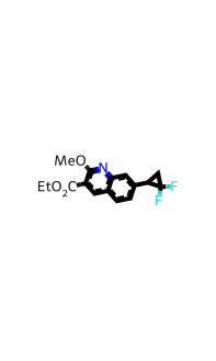 CCOC(=O)c1cc2ccc(C3CC3(F)F)cc2nc1OC